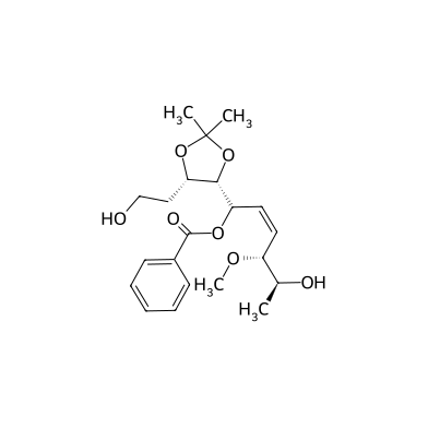 CO[C@H](/C=C\C(OC(=O)c1ccccc1)[C@H]1OC(C)(C)O[C@H]1CCO)[C@H](C)O